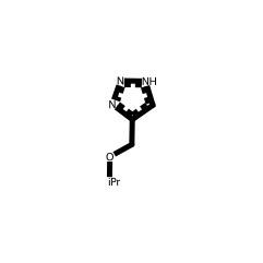 CC(C)OCc1c[nH]nn1